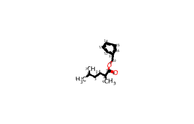 CC(C)CCC(C)C(=O)OCc1ccccc1